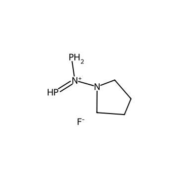 P=[N+](P)N1CCCC1.[F-]